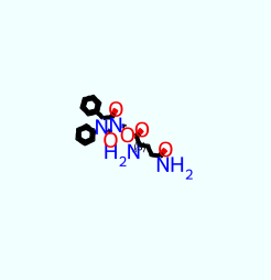 NC(=O)CC[C@H](N)C(=O)OCN1C(=O)C(c2ccccc2)N(c2ccccc2)C1=O